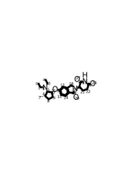 CCN(CC)[C@H]1[C@@H](C)CC[C@H]1Oc1ccc2c(c1)CN(C1CCC(=O)NC1=O)C2=O